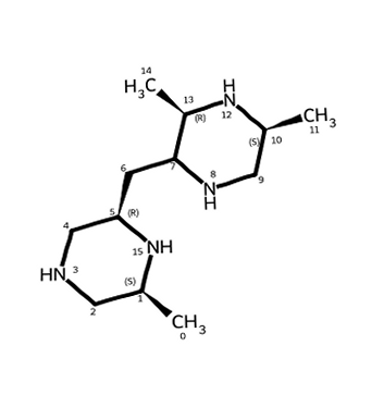 C[C@H]1CNC[C@@H](CC2NC[C@H](C)N[C@@H]2C)N1